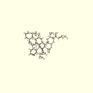 C=CC(=O)N1CC2CNc3c(c4cc(Cl)c(-c5c(O)cccc5Cl)nc4n(-c4c(C)ccnc4C(C)C)c3=O)N2CC1C